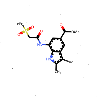 CCCS(=O)(=O)CC(=O)Nc1cc(C(=O)OC)cc2c(C(C)=O)c(C)[nH]c12